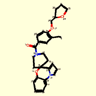 Cc1cc(C(=O)N2CCC3(CC2)Oc2ccccc2-n2cccc23)ccc1OCC1CCCO1